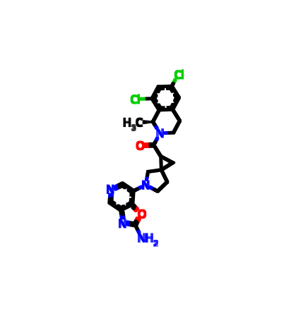 C[C@H]1c2c(Cl)cc(Cl)cc2CCN1C(=O)C1CC12CCN(c1cncc3nc(N)oc13)C2